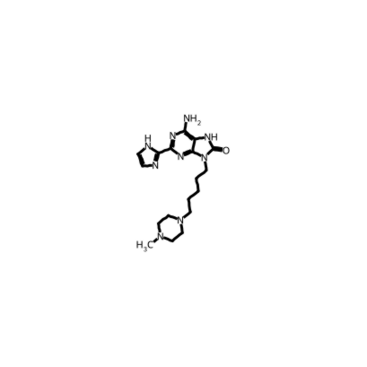 CN1CCN(CCCCCn2c(=O)[nH]c3c(N)nc(-c4ncc[nH]4)nc32)CC1